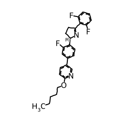 CCCCCOc1ccc(-c2ccc([C@H]3CCC(c4c(F)cccc4F)=N3)c(F)c2)cn1